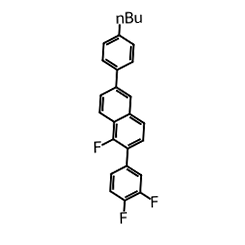 CCCCc1ccc(-c2ccc3c(F)c(-c4ccc(F)c(F)c4)ccc3c2)cc1